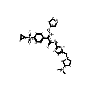 CN(C)[C@@H]1CCN(Cc2cnc(NC(=O)/C(=N/O[C@@H]3CCOC3)c3ccc(S(=O)(=O)C4CC4)cc3)s2)C1